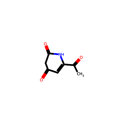 CC(=O)C1=CC(=O)CC(=O)N1